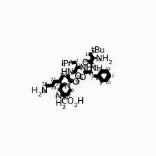 CC(C)C[C@@H](NC(=O)[C@@H](Cc1ccccc1)NC(=O)[C@H](N)CC(C)(C)C)C(=O)N[C@H](CCCCCN)C(=O)N1CCC(N)(C(=O)O)CC1